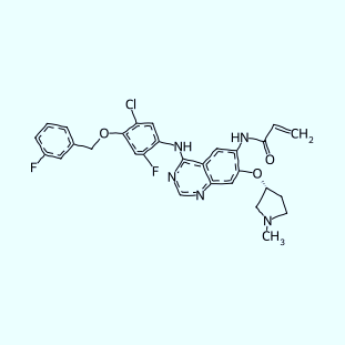 C=CC(=O)Nc1cc2c(Nc3cc(Cl)c(OCc4cccc(F)c4)cc3F)ncnc2cc1O[C@@H]1CCN(C)C1